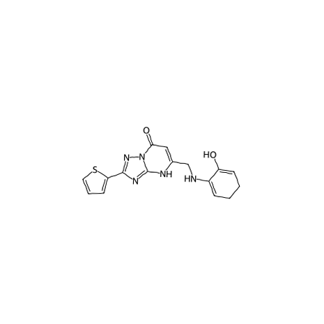 O=c1cc(CNC2=CCCC=C2O)[nH]c2nc(-c3cccs3)nn12